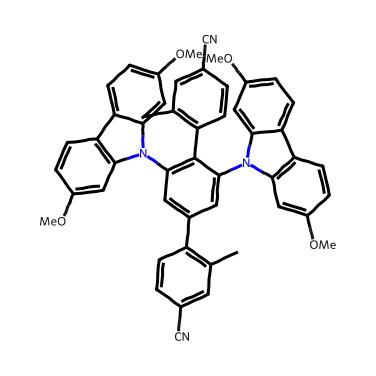 COc1ccc2c3ccc(OC)cc3n(-c3cc(-c4ccc(C#N)cc4C)cc(-n4c5cc(OC)ccc5c5ccc(OC)cc54)c3-c3ccc(C#N)cc3C)c2c1